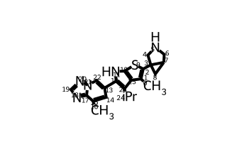 Cc1c(C23CNCC2C3)sc2[nH]c(-c3cc(C)c4ncnn4c3)c(C(C)C)c12